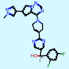 Cn1cc(-c2cc3c(N4CC=C(c5ncc([C@](C)(O)c6ccc(F)cc6F)cn5)CC4)ncnn3c2)cn1